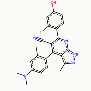 Cc1cc(N(C)C)ccc1-c1c(C#N)c(-c2ccc(O)cc2F)nc2[nH]nc(C)c12